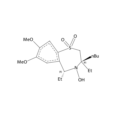 CCCC[C@]1(CC)CS(=O)(=O)c2cc(OC)c(OC)cc2[C@@H](CC)N1O